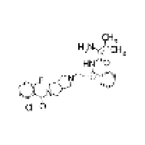 CC(C)[C@H](N)C(=O)N[C@@H](CCN1CC2CN(C(=O)c3c(F)cccc3Cl)CC2C1)c1ccccc1